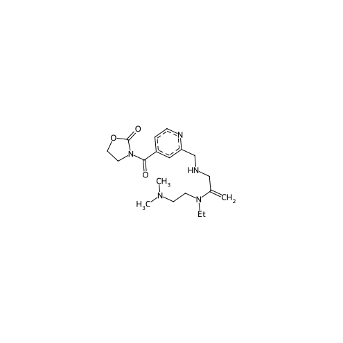 C=C(CNCc1cc(C(=O)N2CCOC2=O)ccn1)N(CC)CCN(C)C